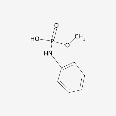 COP(=O)(O)Nc1ccccc1